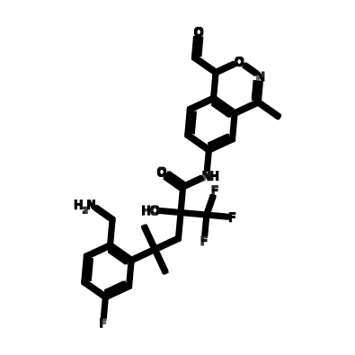 CC1=NOC(C=O)c2ccc(NC(=O)C(O)(CC(C)(C)c3cc(F)ccc3CN)C(F)(F)F)cc21